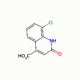 O=C(O)c1cc(=O)[nH]c2c(Cl)cccc12